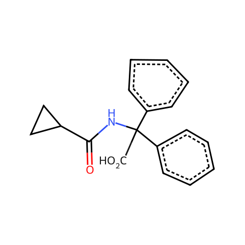 O=C(NC(C(=O)O)(c1ccccc1)c1ccccc1)C1CC1